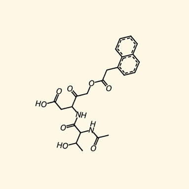 CC(=O)NC(C(=O)NC(CC(=O)O)C(=O)COC(=O)Cc1cccc2ccccc12)C(C)O